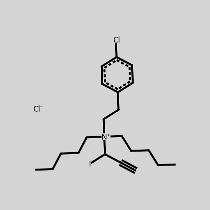 C#CC(I)[N+](CCCCC)(CCCCC)CCc1ccc(Cl)cc1.[Cl-]